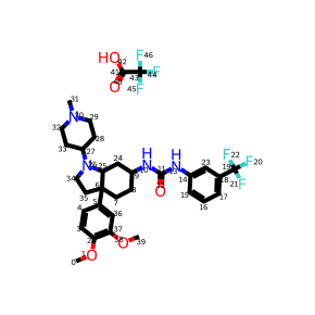 COc1ccc(C23CCC(NC(=O)Nc4cccc(C(F)(F)F)c4)CC2N(C2CCN(C)CC2)CC3)cc1OC.O=C(O)C(F)(F)F